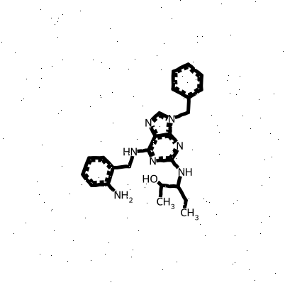 CCC(Nc1nc(NCc2ccccc2N)c2ncn(Cc3ccccc3)c2n1)C(C)O